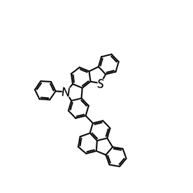 c1ccc(-n2c3ccc(-c4ccc5c6c(cccc46)-c4ccccc4-5)cc3c3c4sc5ccccc5c4ccc32)cc1